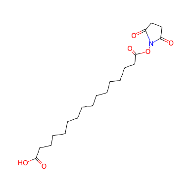 O=C(O)CCCCCCCCCCCCCCC(=O)ON1C(=O)CCC1=O